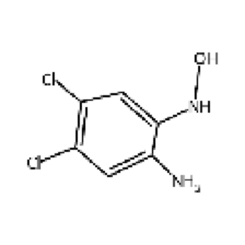 Nc1cc(Cl)c(Cl)cc1NO